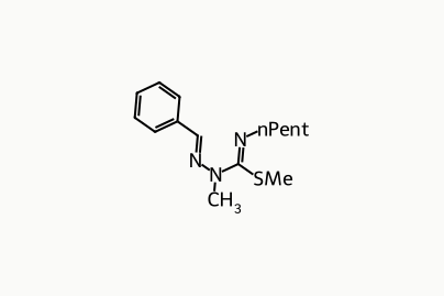 CCCCCN=C(SC)N(C)N=Cc1ccccc1